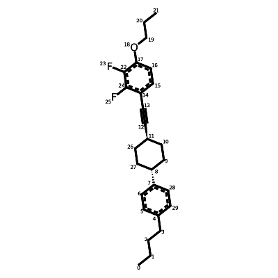 CCCCc1ccc([C@H]2CC[C@H](C#Cc3ccc(OCCC)c(F)c3F)CC2)cc1